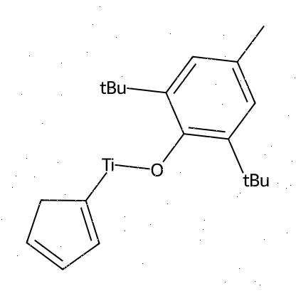 Cc1cc(C(C)(C)C)c([O][Ti][C]2=CC=CC2)c(C(C)(C)C)c1